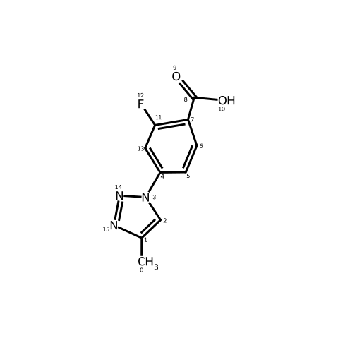 Cc1cn(-c2ccc(C(=O)O)c(F)c2)nn1